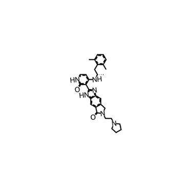 Cc1cccc(C)c1C[C@H](C)Nc1cc[nH]c(=O)c1-c1nc2cc3c(cc2[nH]1)C(=O)N(CCN1CCCC1)C3